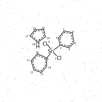 [Cl][Sn]([Cl])([c]1ccccc1)[c]1ccccc1.c1cc[nH]c1